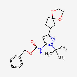 CC(C)(C)n1nc(C2CCC3(C2)OCCO3)cc1NC(=O)OCc1ccccc1